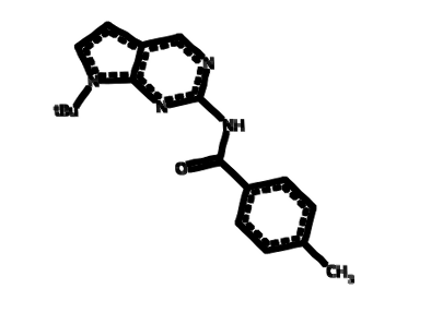 Cc1ccc(C(=O)Nc2ncc3ccn(C(C)(C)C)c3n2)cc1